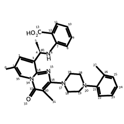 Cc1cc([C@@H](C)Nc2ccccc2C(=O)O)c2nc(N3CCN(c4ccccc4C)CC3)c(C)c(=O)n2c1